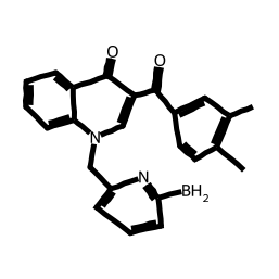 Bc1cccc(Cn2cc(C(=O)c3ccc(C)c(C)c3)c(=O)c3ccccc32)n1